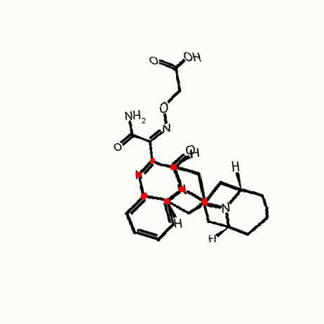 NC(=O)/C(=N\OCC(=O)O)c1nc2ccccc2n(C2C[C@H]3CCC[C@@H](C2)N3C2C[C@H]3CCC[C@@H](C2)C3)c1=O